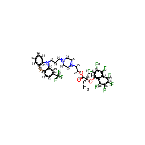 CC(C)(Oc1c(F)c(F)c(F)c2c(F)c(F)c(F)c(F)c12)C(=O)OCCN1CCN(CCCN2c3ccccc3Sc3ccc(C(F)(F)F)cc32)CC1